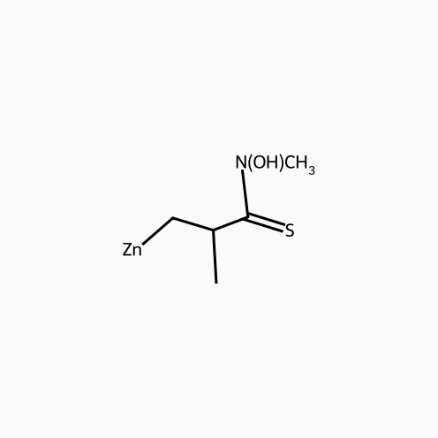 CC([CH2][Zn])C(=S)N(C)O